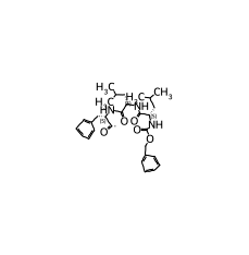 CC(C)C[C@H](NC(=O)OCc1ccccc1)C(=O)N[C@@H](CC(C)C)C(=O)N[C@H]([C]=O)Cc1ccccc1